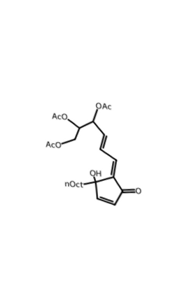 CCCCCCCCC1(O)C=CC(=O)C1=CC=CC(OC(C)=O)C(COC(C)=O)OC(C)=O